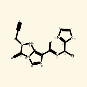 C#CCN1Nc2c(/C(C)=N/C(CC)c3nccs3)ncn2C1=C